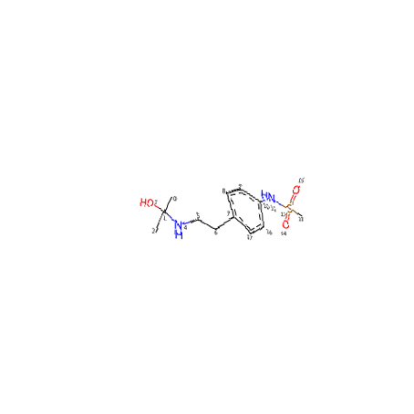 CC(C)(O)NCCc1ccc(NS(C)(=O)=O)cc1